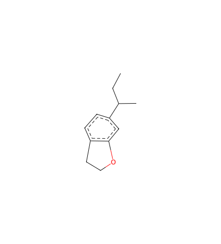 CCC(C)c1ccc2c(c1)OCC2